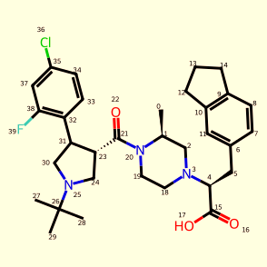 C[C@H]1CN([C@@H](Cc2ccc3c(c2)CCC3)C(=O)O)CCN1C(=O)[C@@H]1CN(C(C)(C)C)CC1c1ccc(Cl)cc1F